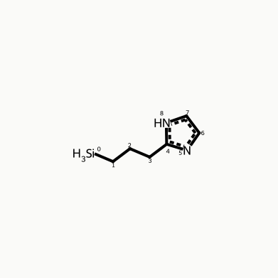 [SiH3]CCCc1ncc[nH]1